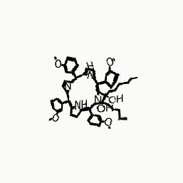 CCCCCCC1(O)c2nc(c(-c3cccc(OC)c3)c3ccc([nH]3)c(-c3cccc(OC)c3)c3nc(c(-c4cccc(OC)c4)c4ccc([nH]4)c2-c2cccc(OC)c2)C=C3)C1(O)CCCCC